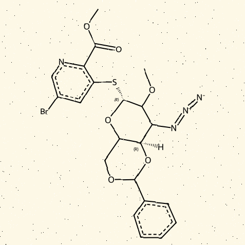 COC(=O)c1ncc(Br)cc1S[C@H]1OC2COC(c3ccccc3)O[C@@H]2C(N=[N+]=[N-])C1OC